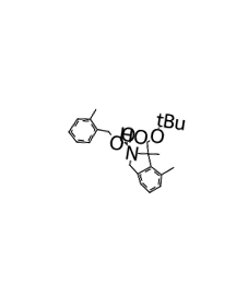 Cc1ccccc1COC(=O)N1Cc2cccc(C)c2C1(C)C(O)OC(C)(C)C